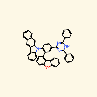 c1ccc(C2=NC(c3ccc(-n4c5ccccc5c5cc6ccccc6cc54)c(-c4cccc5oc6ccccc6c45)c3)=NC(c3ccccc3)N2)cc1